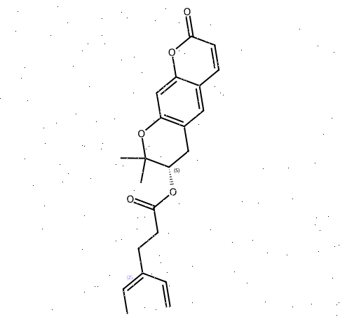 C=C/C(=C\C)CCC(=O)O[C@H]1Cc2cc3ccc(=O)oc3cc2OC1(C)C